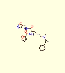 CN(CCCCC(NC(=O)c1ccco1)C(=O)NCc1cnco1)C1CC1c1ccccc1